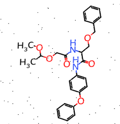 COC(C)OCC(=O)NC(COCc1ccccc1)C(=O)Nc1ccc(Oc2ccccc2)cc1